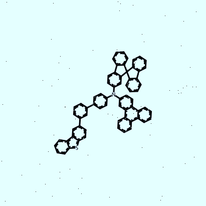 c1cc(-c2ccc(N(c3ccc4c(c3)C3(c5ccccc5-c5ccccc53)c3ccccc3-4)c3ccc4c5ccccc5c5ccccc5c4c3)cc2)cc(-c2ccc3sc4ccccc4c3c2)c1